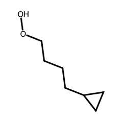 OOCCCCC1CC1